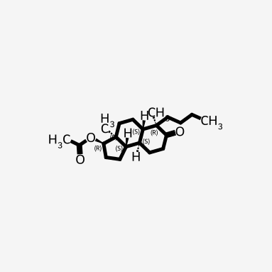 CCCC[C@@]1(C)C(=O)CC[C@H]2[C@@H]3CC[C@@H](OC(C)=O)[C@@]3(C)CC[C@@H]21